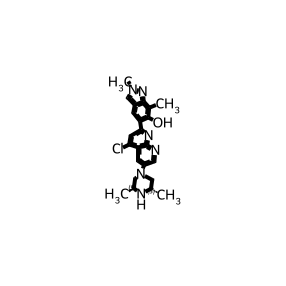 Cc1c(O)c(-c2cc(Cl)c3cc(N4C[C@H](C)N[C@@H](C)C4)cnc3n2)cc2cn(C)nc12